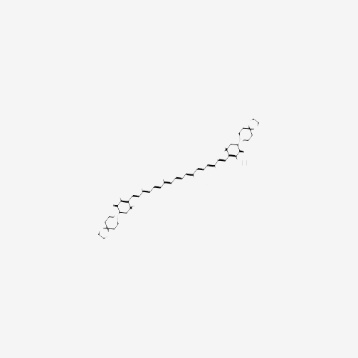 CC1=C(/C=C/C(C)=C/C=C/C(C)=C/C=C/C=C(C)/C=C/C=C(C)/C=C/C2=C(C)C(=O)C(N3CCC4(CC3)OCCO4)CC2(C)C)C(C)(C)CC(N2CCC3(CC2)OCCO3)C1=O